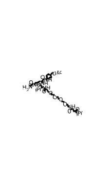 CC(=O)OCc1ccc(NC(=O)[C@H](CCCNC(N)=O)NC(=O)[C@@H](NC(=O)CCOCCOCCOCCOCCNC(=O)CCC(=O)C(C)C)C(C)C)cc1